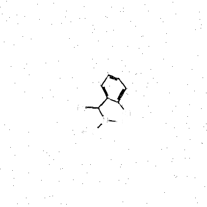 CCC(c1ccccc1Cl)N(C)C